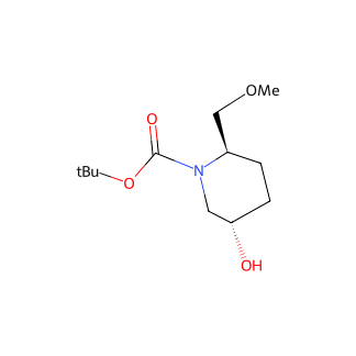 COC[C@H]1CC[C@H](O)CN1C(=O)OC(C)(C)C